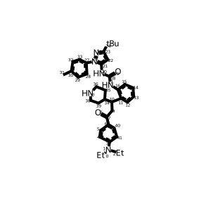 CCN(CC)c1ccc(C(=O)CC(c2ccccc2NC(=O)Nc2cc(C(C)(C)C)nn2-c2ccc(C)cc2)C2CCNCC2)cc1